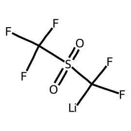 [Li][C](F)(F)S(=O)(=O)C(F)(F)F